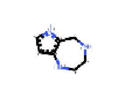 c1cc2c([nH]1)CNCCN2